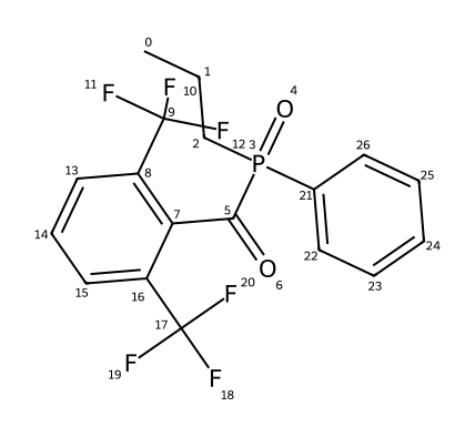 CCCP(=O)(C(=O)c1c(C(F)(F)F)cccc1C(F)(F)F)c1ccccc1